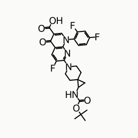 CC(C)(C)OC(=O)NC1CC12CCN(c1nc3c(cc1F)c(=O)c(C(=O)O)cn3-c1ccc(F)cc1F)CC2